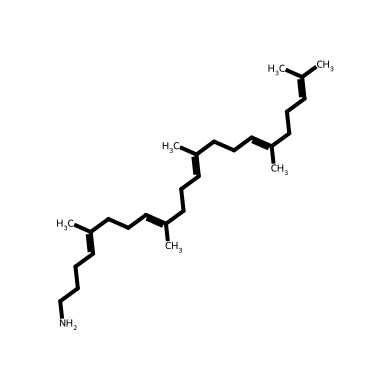 CC(C)=CCCC(C)=CCCC(C)=CCCC(C)=CCCC(C)=CCCCN